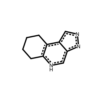 c1[nH]c2c(c3cnnc1-3)CCCC2